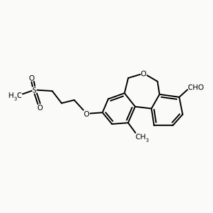 Cc1cc(OCCCS(C)(=O)=O)cc2c1-c1cccc(C=O)c1COC2